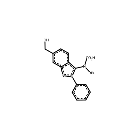 CC(C)(C)N(C(=O)O)c1c2ccc(CO)cc2nn1-c1ccccc1